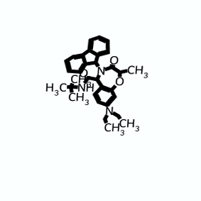 CCN(CC)c1ccc2c(c1)OC(C)C(=O)N(C1c3ccccc3-c3ccccc31)C2C(=O)NC(C)(C)C